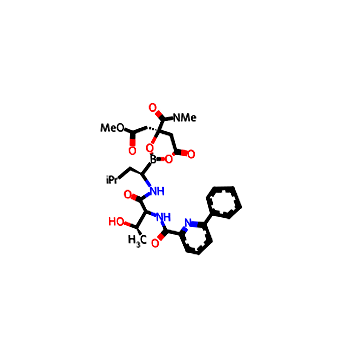 CNC(=O)[C@@]1(CC(=O)OC)CC(=O)OB([C@H](CC(C)C)NC(=O)C(NC(=O)c2cccc(-c3ccccc3)n2)[C@@H](C)O)O1